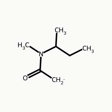 [CH2]C(=O)N(C)C(C)CC